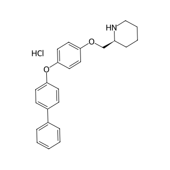 Cl.c1ccc(-c2ccc(Oc3ccc(OC[C@@H]4CCCCN4)cc3)cc2)cc1